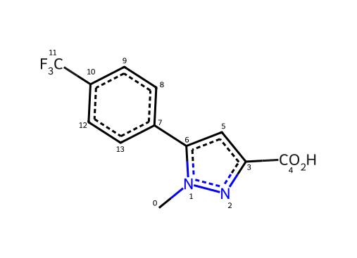 Cn1nc(C(=O)O)cc1-c1ccc(C(F)(F)F)cc1